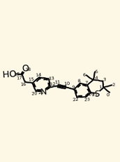 CC1(C)CC(C)(C)c2cc(C#Cc3ccc(CC(=O)O)cn3)ccc2S1